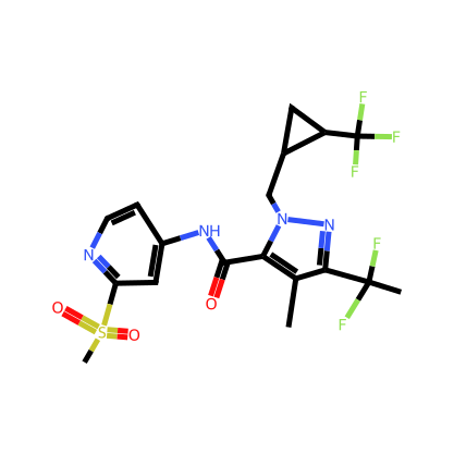 Cc1c(C(C)(F)F)nn(CC2CC2C(F)(F)F)c1C(=O)Nc1ccnc(S(C)(=O)=O)c1